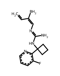 B/C(C=C)=C/N=C(\N)NC1(c2ncccc2F)CCC1